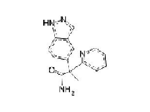 CC(C(N)=O)(c1ccc2[nH]ncc2c1)c1ccccn1